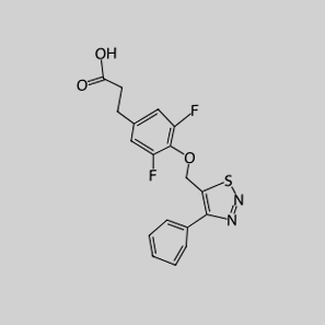 O=C(O)CCc1cc(F)c(OCc2snnc2-c2ccccc2)c(F)c1